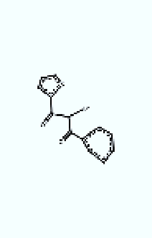 O=C(c1ccccc1)C(Br)C(=O)c1cccs1